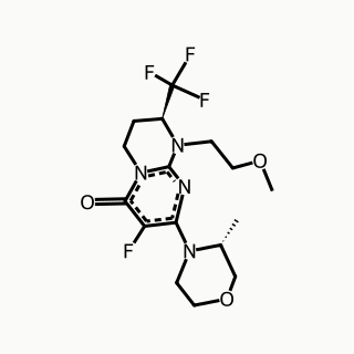 COCCN1c2nc(N3CCOC[C@H]3C)c(F)c(=O)n2CC[C@H]1C(F)(F)F